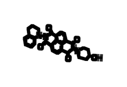 O=C1c2ccc3c4c(ccc(c24)C(=O)N1N1CCC(O)CC1)C(=O)N(N1CCCc2ccccc21)C3=O